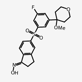 COC1(c2cc(F)cc(S(=O)(=O)c3ccc4c(c3)CCC4=NO)c2)CCOCC1